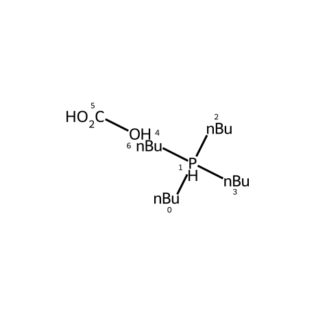 CCCC[PH](CCCC)(CCCC)CCCC.O=C(O)O